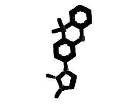 C[C@H]1N(C)C=CN1c1ccc2c(c1)Oc1ccccc1[Si]2(C)C